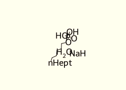 CCCCCCCCCCCCOP(=O)(O)O.O.[NaH]